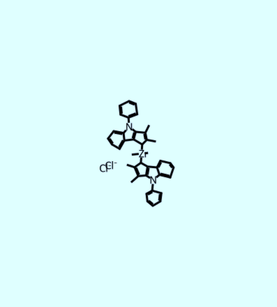 CC1=C(C)[CH]([Zr]([CH3])([CH3])[CH]2C(C)=C(C)c3c2c2ccccc2n3-c2ccccc2)c2c1n(-c1ccccc1)c1ccccc21.[Cl-].[Cl-]